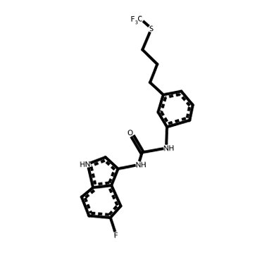 O=C(Nc1cccc(CCCSC(F)(F)F)c1)Nc1c[nH]c2ccc(F)cc12